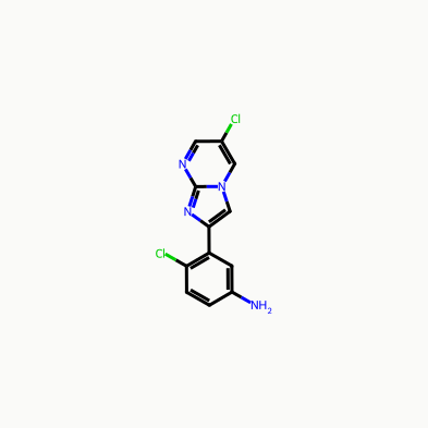 Nc1ccc(Cl)c(-c2cn3cc(Cl)cnc3n2)c1